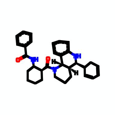 O=C(N[C@@H]1CCCC[C@@H]1C(=O)N1CCC[C@@H]2[C@H](C3C=CC=CC3)Nc3ccccc3[C@@H]21)c1ccccc1